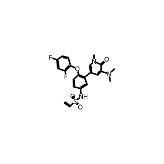 C=CS(=O)(=O)Nc1ccc(Oc2ccc(F)cc2F)c(-c2cc(N(C)C)c(=O)n(C)c2)c1